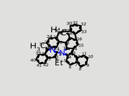 CCc1c(-n2c3ccc4ccccc4c3c3cc4c5c(c32)-c2ccccc2[C@H](CC5)c2ccccc2-4)nc(C)c2ccccc12